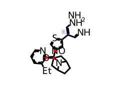 CCc1cccnc1C1(N=O)CC2CCC(C1)N2C(=O)c1csc(/C(C=N)=C/NN)c1